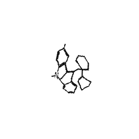 Cc1ccc2c(c1)C1C(c3ccccc3C1C1(C3CCCC3)CCCCC1)N2C